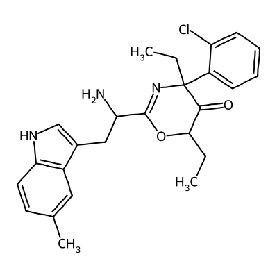 CCC1OC(C(N)Cc2c[nH]c3ccc(C)cc23)=NC(CC)(c2ccccc2Cl)C1=O